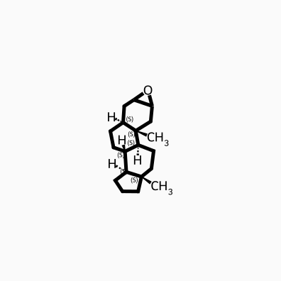 C[C@@]12CCC[C@H]1[C@@H]1CC[C@H]3CC4OC4C[C@]3(C)[C@H]1CC2